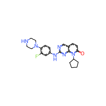 O=c1ccc2cnc(Nc3ccc(N4CCNCC4)c(F)c3)nc2n1C1CCCC1